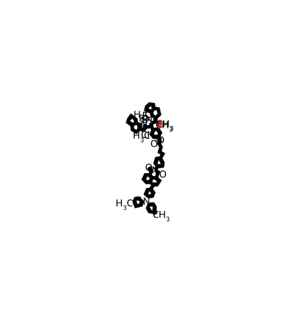 CC1=C2CCc3ccccc3C2(C)N2C1=C(c1c(C)cc(OC(=O)CCCc3ccc(N4C(=O)c5cccc6c(-c7ccc(N(c8ccc(C)cc8)c8ccc(C)cc8)cc7)ccc(c56)C4=O)cc3)cc1C)c1c(C)c3c(n1[B-]2(F)F)-c1ccccc1CC3